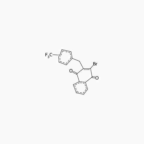 O=C1C(Br)=C(Cc2ccc(C(F)(F)F)cc2)C(=O)c2ccccc21